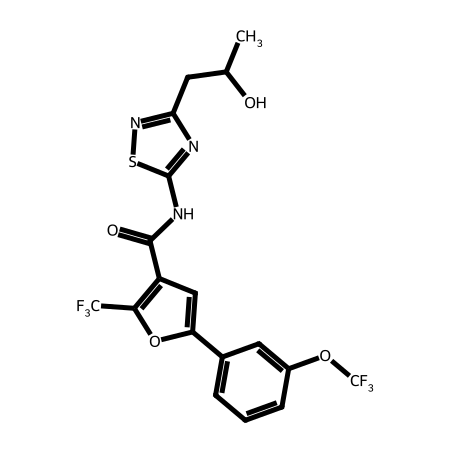 CC(O)Cc1nsc(NC(=O)c2cc(-c3cccc(OC(F)(F)F)c3)oc2C(F)(F)F)n1